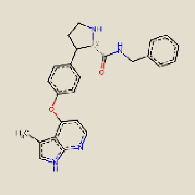 Cc1c[nH]c2nccc(Oc3ccc(C4CCN[C@@H]4C(=O)NCc4ccccc4)cc3)c12